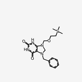 C[Si](C)(C)CCOCN1CN(Cc2ccccc2)c2c1[nH]c(=O)[nH]c2=O